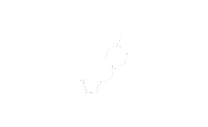 CN1CCN(Cc2ccno2)CC1